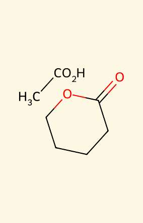 CC(=O)O.O=C1CCCCO1